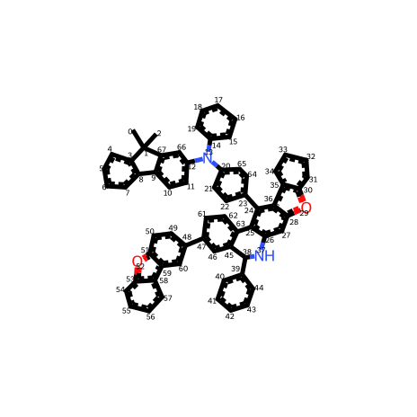 CC1(C)c2ccccc2-c2ccc(N(c3ccccc3)c3ccc(-c4c5c(cc6oc7ccccc7c46)NC(c4ccccc4)c4cc(-c6ccc7oc8ccccc8c7c6)ccc4-5)cc3)cc21